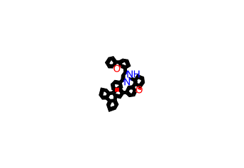 C1=CCC2C(=C1)c1ccccc1-c1cc(-c3ccc4oc5cccc(C6=NC(c7ccccc7)=CC(c7cccc8c7oc7ccccc78)N6)c5c4c3)ccc12